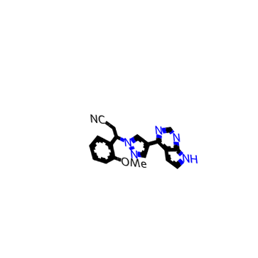 COc1ccccc1C(CC#N)n1cc(-c2ncnc3[nH]ccc23)cn1